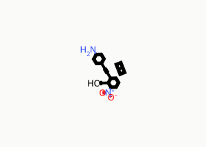 C#Cc1c(C#Cc2ccc(N)cc2)cccc1[N+](=O)[O-].c1cc2ccc1-2